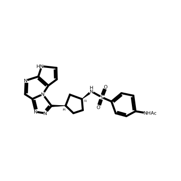 CC(=O)Nc1ccc(S(=O)(=O)N[C@H]2CC[C@@H](c3nnc4cnc5[nH]ccc5n34)C2)cc1